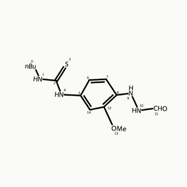 CCCCNC(=S)Nc1ccc(NNC=O)c(OC)c1